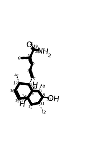 C/C(=C\C=C\[C@@H]1[C@H]2[C@H](C)[C@@H](O)[C@H](C)C[C@@H]2C=C[C@@H]1C)C(N)=O